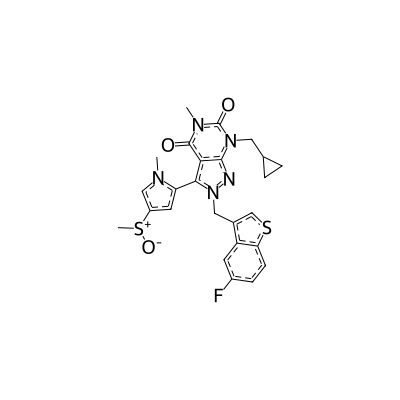 Cn1cc([S+](C)[O-])cc1-c1c2c(=O)n(C)c(=O)n(CC3CC3)c2nn1Cc1csc2ccc(F)cc12